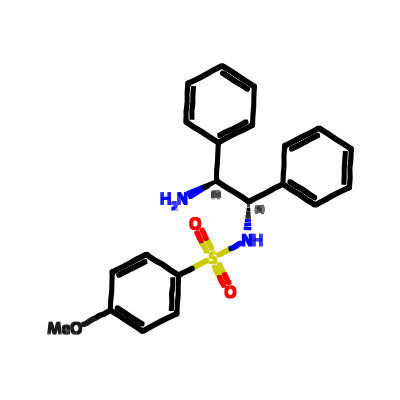 COc1ccc(S(=O)(=O)N[C@@H](c2ccccc2)[C@@H](N)c2ccccc2)cc1